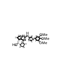 COc1cc(-n2cnc(Nc3nc(N4CCC[C@@H]4CO)c4cccn4n3)c2)cc(OC)c1OC